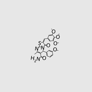 COc1cccc(C2C(C(N)=O)=C(C)N=c3s/c(=C/c4cc(OC)c(OC)c(OC)c4)c(=O)n32)c1